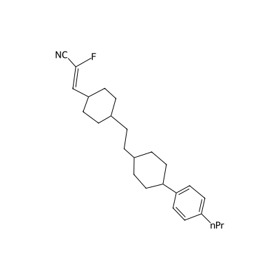 CCCc1ccc(C2CCC(CCC3CCC(C=C(F)C#N)CC3)CC2)cc1